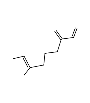 C=CC(=C)CCCC(C)=CC